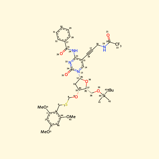 COc1cc(OC)c(CSCO[C@@H]2C[C@H](n3cc(C#CCNC(=O)C(F)(F)F)c(NC(=O)c4ccccc4)nc3=O)O[C@@H]2CO[Si](C)(C)C(C)(C)C)c(OC)c1